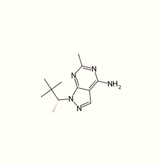 Cc1nc(N)c2cnn([C@H](C)C(C)(C)C)c2n1